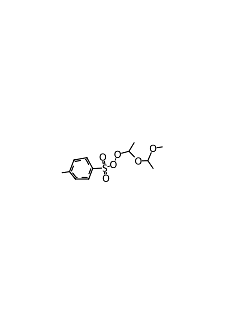 COC(C)OC(C)OOS(=O)(=O)c1ccc(C)cc1